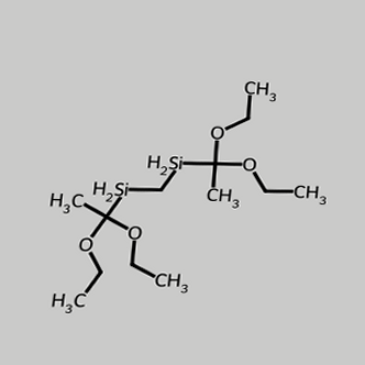 CCOC(C)(OCC)[SiH2]C[SiH2]C(C)(OCC)OCC